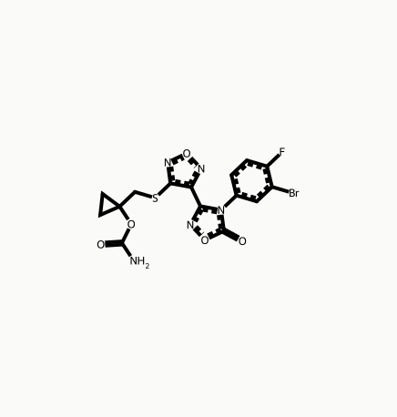 NC(=O)OC1(CSc2nonc2-c2noc(=O)n2-c2ccc(F)c(Br)c2)CC1